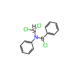 ClB(c1ccccc1)N(c1ccccc1)[SiH](Cl)Cl